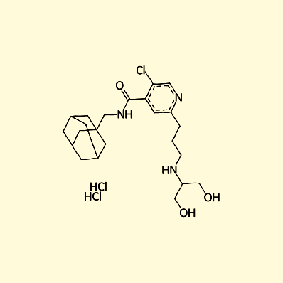 Cl.Cl.O=C(NCC12CC3CC(CC(C3)C1)C2)c1cc(CCCNC(CO)CO)ncc1Cl